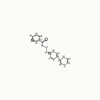 O=C(CCCN1C=CC(C2=CCC=CC2)=CC1)c1cccnc1